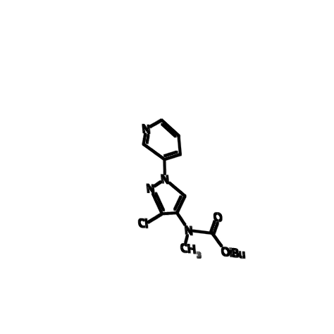 CC(C)COC(=O)N(C)c1cn(-c2cccnc2)nc1Cl